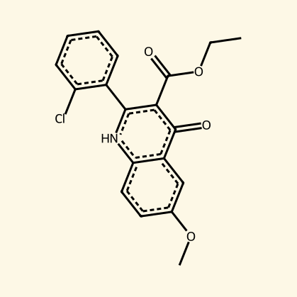 CCOC(=O)c1c(-c2ccccc2Cl)[nH]c2ccc(OC)cc2c1=O